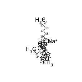 CCCCC(CC)COS(=O)(=O)[O-].CCCCCCCCCCCCOS(=O)(=O)[O-].[Li+].[Na+]